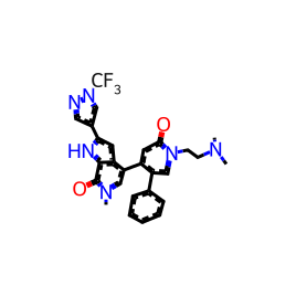 CN(C)CCn1cc(-c2ccccc2)c(-c2cn(C)c(=O)c3[nH]c(-c4cnn(C(F)(F)F)c4)cc23)cc1=O